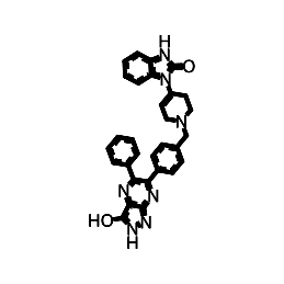 O=c1[nH]c2ccccc2n1C1=CCN(Cc2ccc(-c3nc4n[nH]c(O)c4nc3-c3ccccc3)cc2)CC1